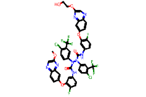 COc1cnc2ccc(Oc3cc(NC(=O)N(c4ccc(Cl)c(C(F)(F)F)c4)N(C(=O)Nc4ccc(F)c(Oc5ccc6ncc(OCCO)nc6c5)c4)c4ccc(Cl)c(C(F)(F)F)c4)ccc3F)cc2n1